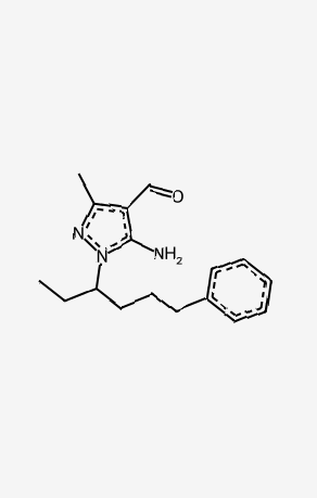 CCC(CCCc1ccccc1)n1nc(C)c(C=O)c1N